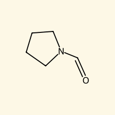 O=CN1CCCC1